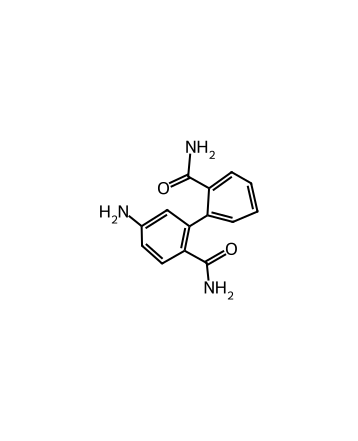 NC(=O)c1ccccc1-c1cc(N)ccc1C(N)=O